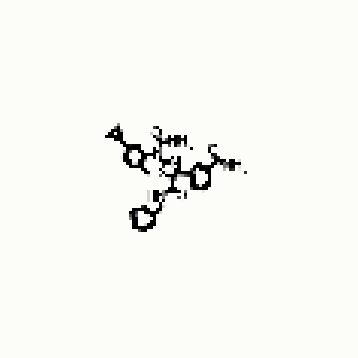 Cc1ccc(C2CC2)cc1N(C(N)=O)c1nc(-c2cccc(C(N)=O)c2)c(C(=O)NCc2ccccc2)s1